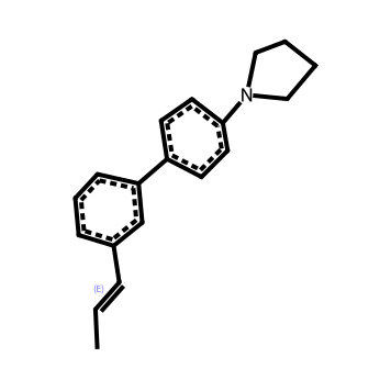 C/C=C/c1cccc(-c2ccc(N3CCCC3)cc2)c1